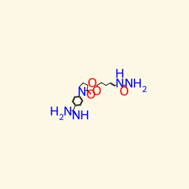 N=C(N)c1ccc(N2CCC(OC(=O)CCC=CNC(N)=O)C2=O)cc1